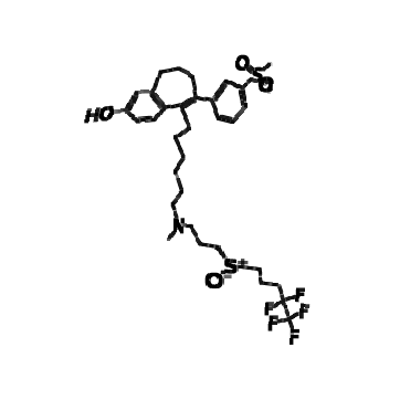 CN(CCCCCCC1=C(c2cccc(S(C)(=O)=O)c2)CCCc2cc(O)ccc21)CCC[S+]([O-])CCCC(F)(F)C(F)(F)F